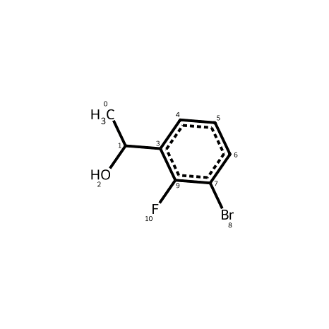 CC(O)c1cccc(Br)c1F